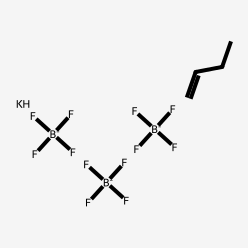 C=CCC.F[B-](F)(F)F.F[B-](F)(F)F.F[B-](F)(F)F.[KH]